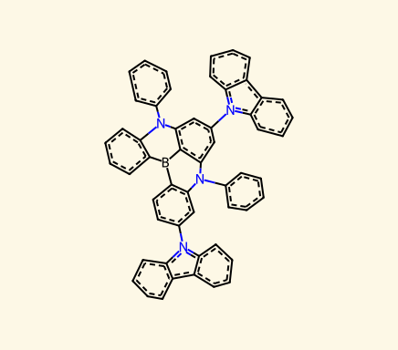 c1ccc(N2c3ccccc3B3c4ccc(-n5c6ccccc6c6ccccc65)cc4N(c4ccccc4)c4cc(-n5c6ccccc6c6ccccc65)cc2c43)cc1